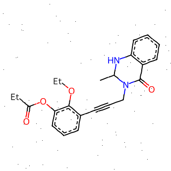 CCOc1c(C#CCN2C(=O)c3ccccc3NC2C)cccc1OC(=O)CC